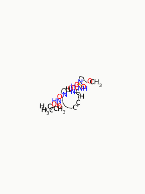 COC[C@@H]1CCCN1S(=O)(=O)NC(=O)[C@@]12C[C@H]1C=C=CCCCCC[C@H](NC(=O)OC(C)(C)C)C(=O)N1CCC[C@H]1C(=O)N2